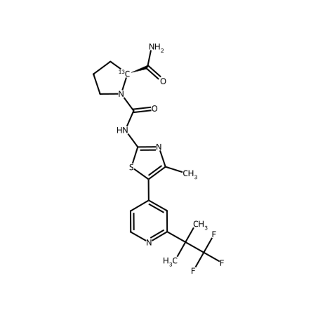 Cc1nc(NC(=O)N2CCC[13C@H]2C(N)=O)sc1-c1ccnc(C(C)(C)C(F)(F)F)c1